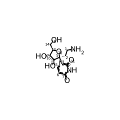 NCC[C@@]1(n2ccc(=O)[nH]c2=O)O[C@H](CO)[C@@H](O)[C@H]1O